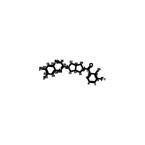 O=C(c1cccc(F)c1I)N1CC2CN(c3cnc4cc(F)c(F)cc4n3)CC2C1